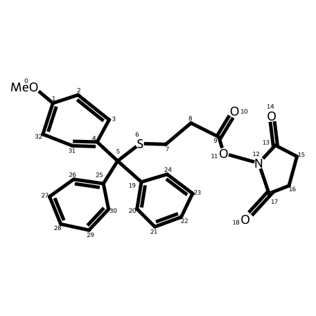 COc1ccc(C(SCCC(=O)ON2C(=O)CCC2=O)(c2ccccc2)c2ccccc2)cc1